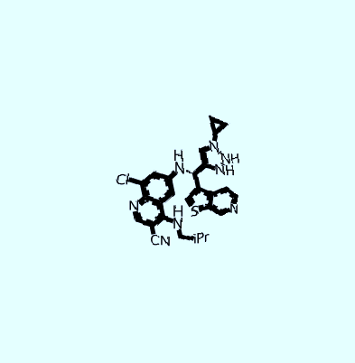 CC(C)CNc1c(C#N)cnc2c(Cl)cc(N[C@H](C3=CN(C4CC4)NN3)c3csc4cnccc34)cc12